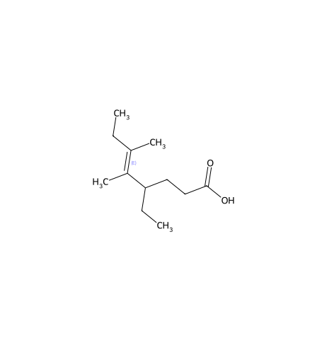 CC/C(C)=C(\C)C(CC)CCC(=O)O